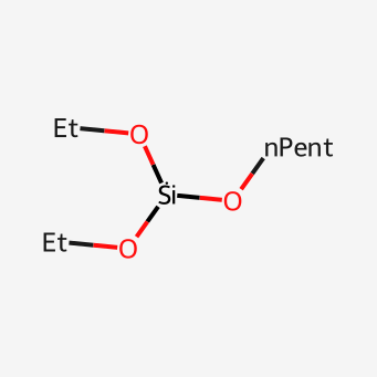 CCCCCO[Si](OCC)OCC